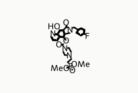 COP(=O)(CCN1CCN(C(=O)Oc2c3c(c(O)c4ncccc24)C(=O)N(Cc2ccc(F)cc2)C3)CC1)OC